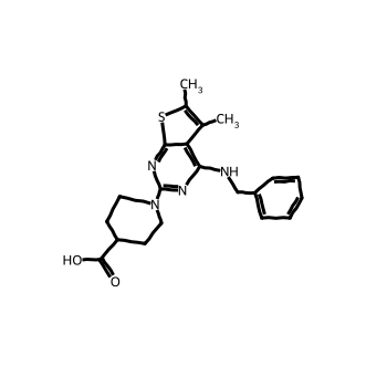 Cc1sc2nc(N3CCC(C(=O)O)CC3)nc(NCc3ccccc3)c2c1C